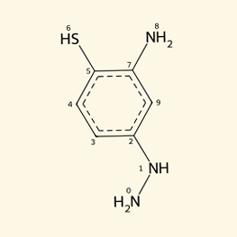 NNc1ccc(S)c(N)c1